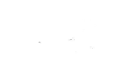 COc1ccnc(C(=O)N[C@H]2CCC[C@H](CCC(C)C)[C@@H](OC)[C@H](C)OC2=O)c1OC(C)=O